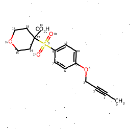 CC#CCOc1ccc(S(=O)(=O)C2(C(=O)O)CCOCC2)cc1